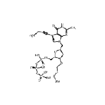 Cc1nc2c(c(C#CCN)cn2C[C@H]2C[C@@H](OCSSC(C)(C)C)[C@@H](COP(=O)(O)OP(=O)(O)OP(=O)(O)O)O2)c(=O)[nH]1